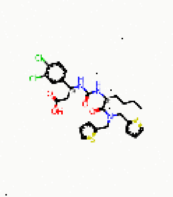 CCCC[C@H](NC(=O)N[C@@H](CC(=O)O)c1ccc(Cl)c(Cl)c1)C(=O)N(Cc1cccs1)Cc1cccs1